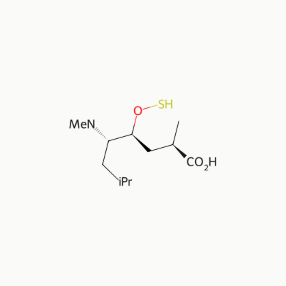 CN[C@@H](CC(C)C)[C@H](C[C@@H](C)C(=O)O)OS